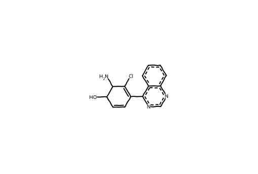 NC1C(Cl)=C(c2ncnc3ccccc23)C=CC1O